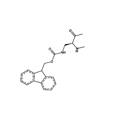 CN[C@@H](CNC(=O)OCC1c2ccccc2-c2ccccc21)C(C)=O